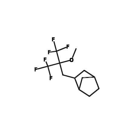 COC(CC1CC2CCC1C2)(C(F)(F)F)C(F)(F)F